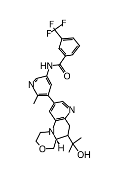 Cc1ncc(NC(=O)c2cccc(C(F)(F)F)c2)cc1-c1cnc2c(c1)N1CCOC[C@H]1C(C(C)(C)O)C2